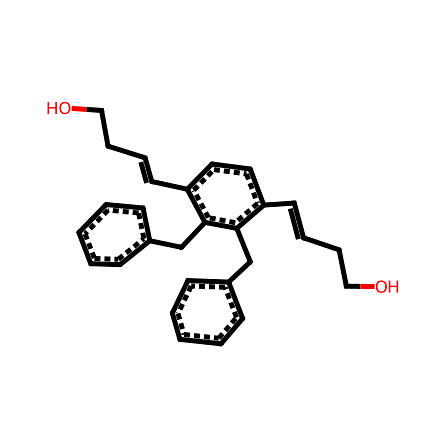 OCCC=Cc1ccc(C=CCCO)c(Cc2ccccc2)c1Cc1ccccc1